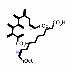 C=C(C/C=C\CCCCCCCC)C(=C)C(=C)C(=C)C(=C)C(=C)C(=O)O.CCCCCCCC/C=C\CCCCCCCC(=O)O